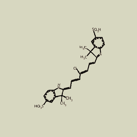 CC1(C)C(C=CC=C(Cl)C=CC=C2Nc3ccc(S(=O)(=O)O)cc3C2(C)C)=Nc2ccc(S(=O)(=O)O)cc21